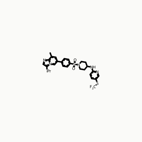 Cc1cc(-c2ccc(S(=O)(=O)N3CCC(Nc4ccc(SC(F)(F)F)cn4)CC3)cc2)cn2c(C(C)C)cnc12